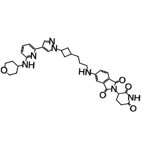 O=C1CCC(N2C(=O)c3ccc(NCCCC4CC(n5cc(-c6cccc(NC7CCOCC7)n6)cn5)C4)cc3C2=O)C(=O)N1